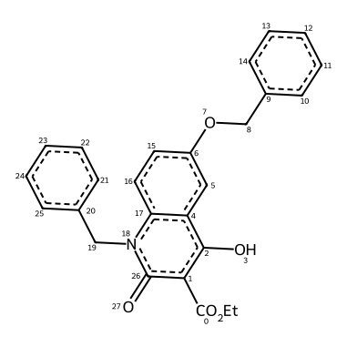 CCOC(=O)c1c(O)c2cc(OCc3ccccc3)ccc2n(Cc2ccccc2)c1=O